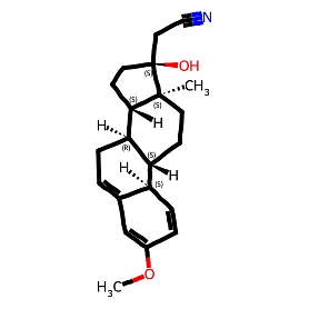 COC1=CC2=CC[C@@H]3[C@H](CC[C@@]4(C)[C@H]3CC[C@]4(O)CC#N)[C@H]2C=C1